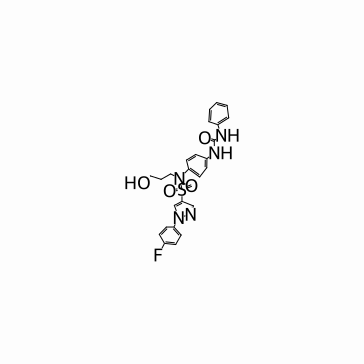 O=C(Nc1ccccc1)Nc1ccc(N(CCCO)S(=O)(=O)c2cnn(-c3ccc(F)cc3)c2)cc1